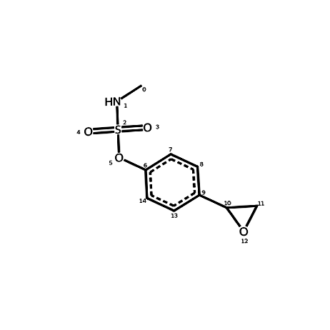 CNS(=O)(=O)Oc1ccc(C2CO2)cc1